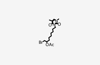 CC(=O)OC(CBr)CCCCCCCn1c(=O)c(C)cn(C)c1=O